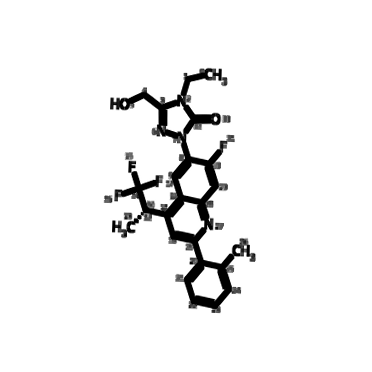 CCn1c(CO)nn(-c2cc3c([C@H](C)C(F)(F)F)cc(-c4ccccc4C)nc3cc2F)c1=O